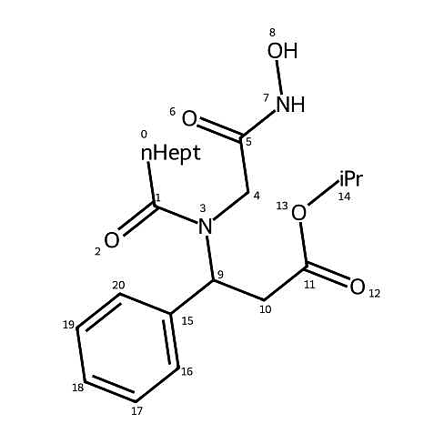 CCCCCCCC(=O)N(CC(=O)NO)C(CC(=O)OC(C)C)c1ccccc1